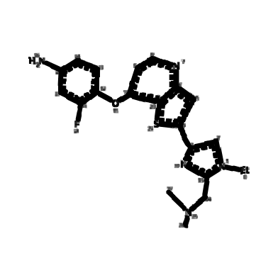 CCn1cc(-c2cc3nccc(Oc4ccc(N)cc4F)c3s2)nc1CN(C)C